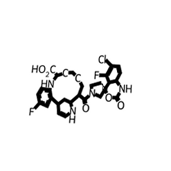 O=C1NC2C=CC(Cl)=C(F)C2[C@@]2(CCN(C(=O)C3CCCCC(C(=O)O)Nc4ccc(F)cc4C4C=CNC3C4)C2)O1